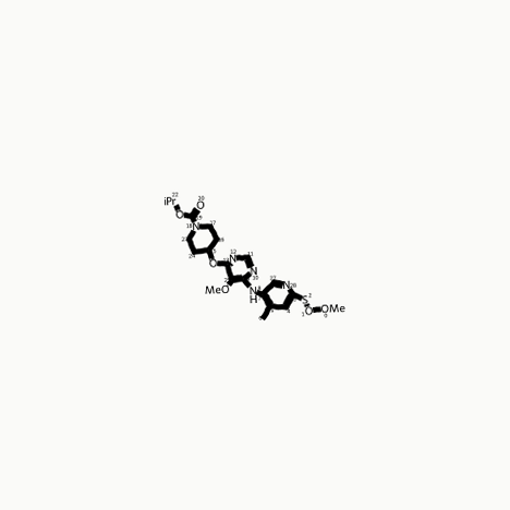 COOSc1cc(C)c(Nc2ncnc(OC3CCN(C(=O)OC(C)C)CC3)c2OC)cn1